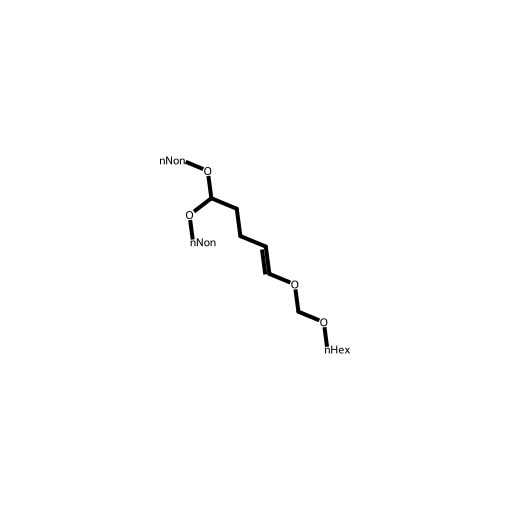 CCCCCCCCCOC(CCC=COCOCCCCCC)OCCCCCCCCC